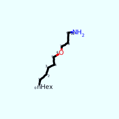 CCCCCCCCCCCOCCCN